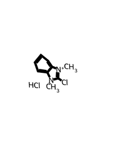 Cl.Cn1c(Cl)[n+](C)c2ccccc21